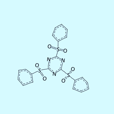 O=S(=O)(c1ccccc1)c1nc(S(=O)(=O)c2ccccc2)nc(S(=O)(=O)c2ccccc2)n1